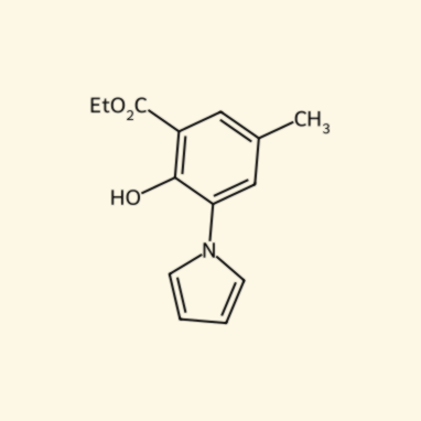 CCOC(=O)c1cc(C)cc(-n2cccc2)c1O